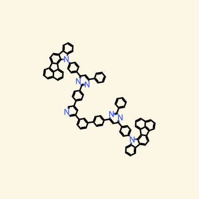 c1ccc(-c2cc(-c3ccc(-n4c5ccccc5c5ccc6c(c54)-c4cccc5cccc-6c45)cc3)nc(-c3ccc(-c4cncc(-c5cccc(-c6ccc(-c7cc(-c8ccc(-n9c%10ccccc%10c%10ccc%11c(c%109)-c9cccc%10cccc-%11c9%10)cc8)nc(-c8ccccc8)n7)cc6)c5)c4)cc3)n2)cc1